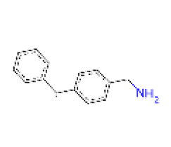 NCc1ccc([CH]c2ccccc2)cc1